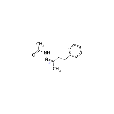 CC(=O)N/N=C(/C)CCc1ccccc1